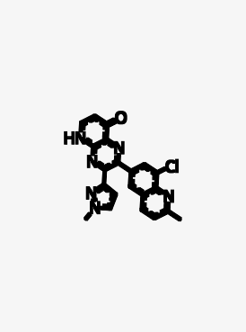 Cc1ccc2cc(-c3nc4c(=O)cc[nH]c4nc3-c3ccn(C)n3)cc(Cl)c2n1